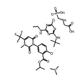 CC(C)OC(=O)c1cc(-n2c(=O)cc(C(F)(F)F)n(C)c2=O)ccc1Cl.CCNc1nc(Cl)nc(NC(C)(C)C)n1.C[S+](C)C.O=C(O)CNCP(=O)([O-])O